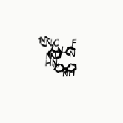 CN1CCN(C(=O)c2cnn3c(N[C@@H]4CCc5[nH]c6ccccc6c5C4)cc(-c4cncc(F)c4)nc23)CC1